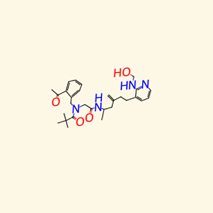 C=C(CCc1cccnc1NCO)CC(C)NC(=O)CN(Cc1ccccc1C(C)=O)C(=O)C(C)(C)C